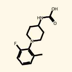 Cc1cccc(F)c1N1CCC(NC(=O)O)CC1